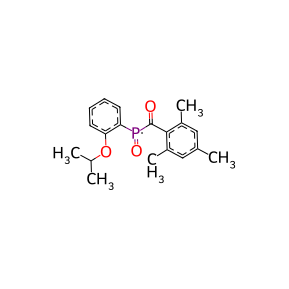 Cc1cc(C)c(C(=O)[P](=O)c2ccccc2OC(C)C)c(C)c1